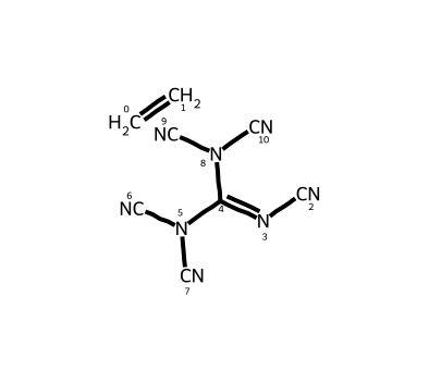 C=C.N#CN=C(N(C#N)C#N)N(C#N)C#N